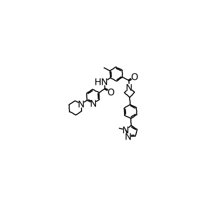 Cc1ccc(C(=O)N2CC(c3ccc(-c4ccnn4C)cc3)C2)cc1NC(=O)c1ccc(N2CCCCC2)nc1